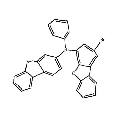 Brc1cc(N(c2ccccc2)c2ccc3c(c2)sc2ccccc23)c2oc3ccccc3c2c1